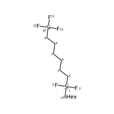 CCCCCC[Si](F)(F)CCCCCC[Si](F)(F)F